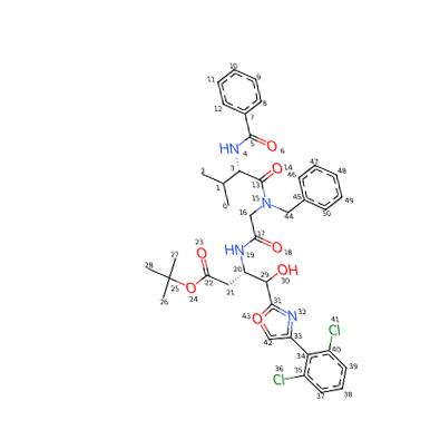 CC(C)[C@H](NC(=O)c1ccccc1)C(=O)N(CC(=O)N[C@@H](CC(=O)OC(C)(C)C)C(O)c1nc(-c2c(Cl)cccc2Cl)co1)Cc1ccccc1